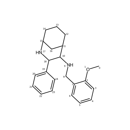 COc1ccccc1CNC1C2CCCC(C2)NC1c1ccccc1